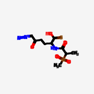 CC(C(=O)NC(CCC(=O)C=[N+]=[N-])C(O)=S)S(C)(=O)=O